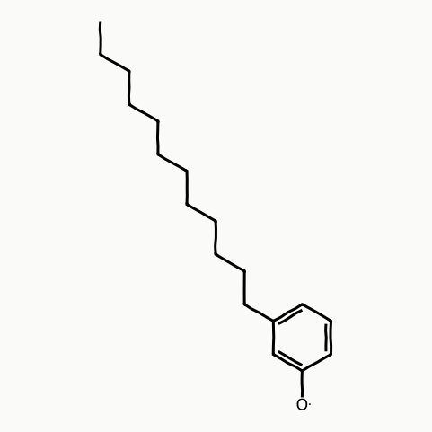 CCCCCCCCCCCCc1cccc([O])c1